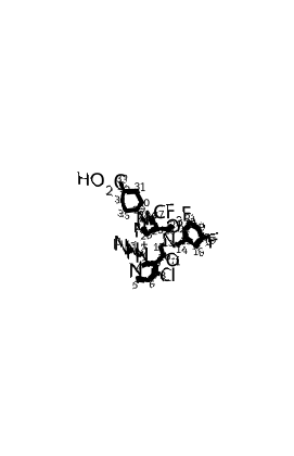 [N-]=[N+]=Nc1nccc(Cl)c1C(=O)CN(Cc1cc(F)cc(F)c1)C(=O)c1cnn(C2CCC(C(=O)O)CC2)c1C(F)(F)F